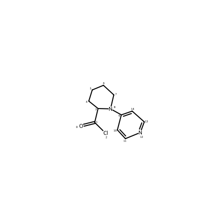 O=C(Cl)C1CCCCN1c1ccncc1